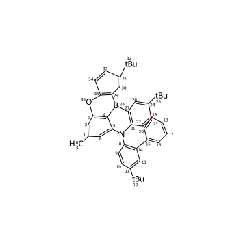 Cc1cc2c3c(c1)N(c1ccc(C(C)(C)C)cc1-c1ccccc1)c1ccc(C(C)(C)C)cc1B3c1cc(C(C)(C)C)ccc1O2